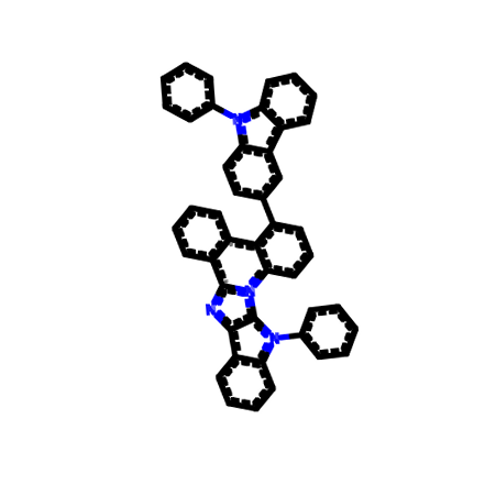 c1ccc(-n2c3ccccc3c3cc(-c4cccc5c4c4ccccc4c4nc6c7ccccc7n(-c7ccccc7)c6n54)ccc32)cc1